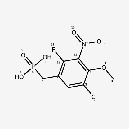 COc1c(Cl)cc(CP(=O)(O)O)c(F)c1[N+](=O)[O-]